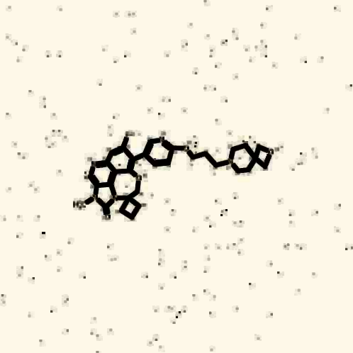 Cn1c(=O)n2c3c4c(c(-c5ccc(OCCCN6CCC7(CC6)COC7)nc5)c(F)cc4ncc31)OCC21CCC1